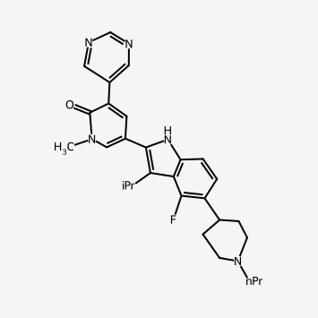 CCCN1CCC(c2ccc3[nH]c(-c4cc(-c5cncnc5)c(=O)n(C)c4)c(C(C)C)c3c2F)CC1